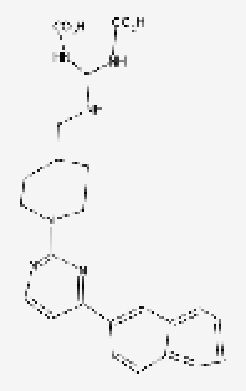 O=C(O)NC(NCC1CCN(c2nccc(-c3ccc4ccccc4c3)n2)CC1)NC(=O)O